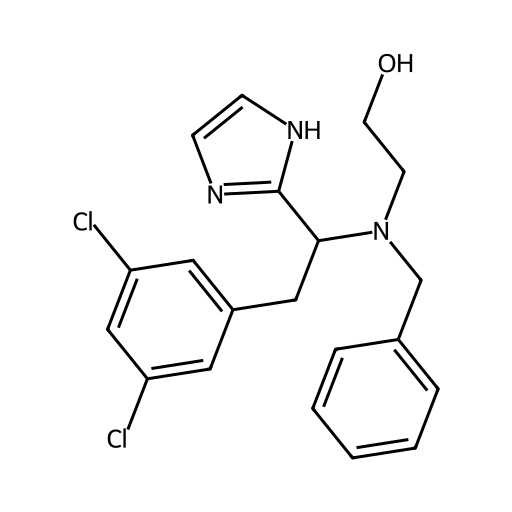 OCCN(Cc1ccccc1)C(Cc1cc(Cl)cc(Cl)c1)c1ncc[nH]1